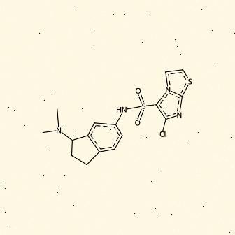 CN(C)C1CCc2ccc(NS(=O)(=O)c3c(Cl)nc4sccn34)cc21